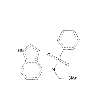 CSCN(c1cccc2[nH]ccc12)S(=O)(=O)c1ccccc1